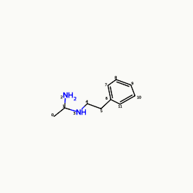 CC(N)NCCc1ccccc1